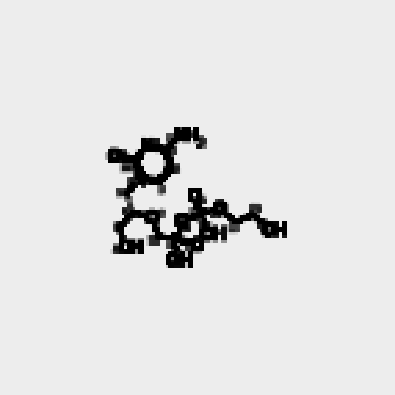 Nc1ccn(C[C@@H](CO)OCP(=O)(O)OP(=O)(O)OCCO)c(=O)n1